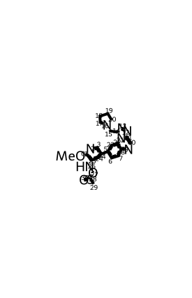 COc1ncc(-c2ccc3ncc4nnc(CN5CCCC5)n4c3c2)cc1NOS(C)=O